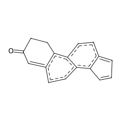 O=C1C=c2ccc3c4c(ccc3c2CC1)=CC=C4